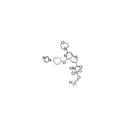 CC1CC1S(=O)(=O)NC(=O)c1cnc2cc(N3CCOCC3)nc(O[C@H]3CC[C@@H](n4ccnc4)CC3)c2c1